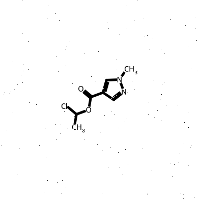 CC(Cl)OC(=O)c1cnn(C)c1